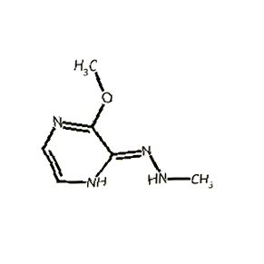 CNN=c1[nH]ccnc1OC